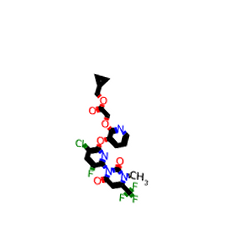 Cn1c(C(F)(F)F)cc(=O)n(-c2nc(Oc3cccnc3OCC(=O)OCC3CC3)c(Cl)cc2F)c1=O